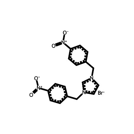 O=[N+]([O-])c1ccc(Cn2cc[n+](Cc3ccc([N+](=O)[O-])cc3)c2)cc1.[Br-]